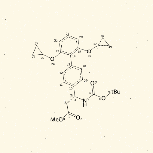 COC(=O)C[C@@H](NC(=O)OC(C)(C)C)c1ccc(-c2c(OC3CC3)cccc2OC2CC2)cc1